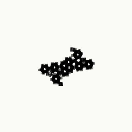 CCc1cccc(N(c2cccc(-c3ccccc3)c2C)c2ccc3ccc4c(N(c5cccc(CC)c5)c5cccc(-c6ccccc6)c5C)ccc5ccc2c3c54)c1